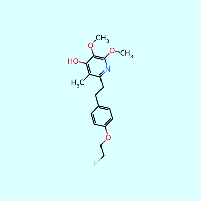 COc1nc(CCc2ccc(OCCF)cc2)c(C)c(O)c1OC